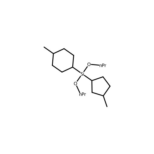 CCCO[Si](OCCC)(C1CCC(C)CC1)C1CCC(C)C1